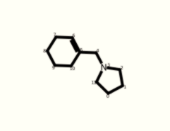 [CH]1CCN(CC2=CCCCC2)C1